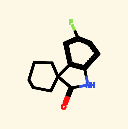 O=C1Nc2ccc(F)cc2C12CCCCC2